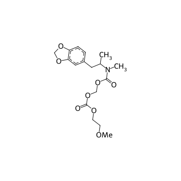 COCCOC(=O)OCOC(=O)N(C)C(C)Cc1ccc2c(c1)OCO2